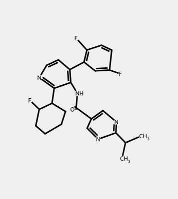 CC(C)c1ncc(C(=O)Nc2c(-c3cc(F)ccc3F)ccnc2C2CCCCC2F)cn1